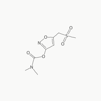 CN(C)C(=O)Oc1cc(CS(C)(=O)=O)on1